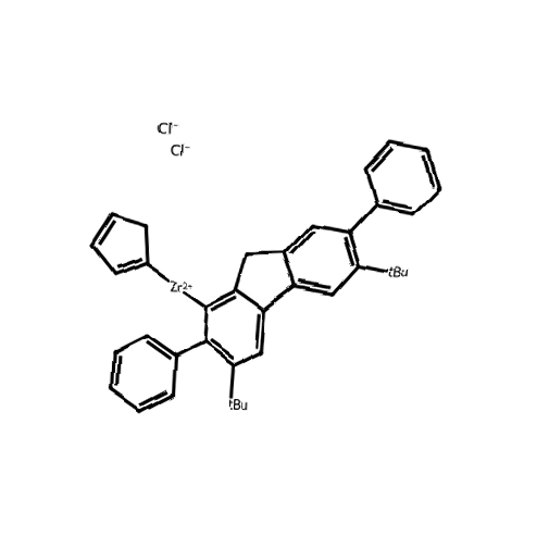 CC(C)(C)c1cc2c(cc1-c1ccccc1)Cc1c-2cc(C(C)(C)C)c(-c2ccccc2)[c]1[Zr+2][C]1=CC=CC1.[Cl-].[Cl-]